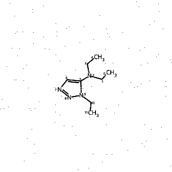 CCN(CC)c1cnnn1CC